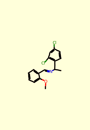 COc1ccccc1C=NC(C)c1ccc(Cl)cc1Cl